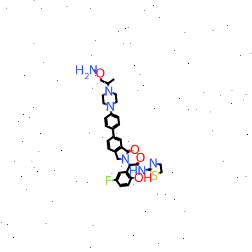 CC(CON)N1CCN(c2ccc(-c3ccc4c(c3)C(=O)N(C(C(=O)NC3=NCCS3)c3cc(F)ccc3O)C4)cc2)CC1